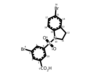 O=C(O)c1cc(Br)cc(S(=O)(=O)N2CCc3cc(Br)ccc32)c1